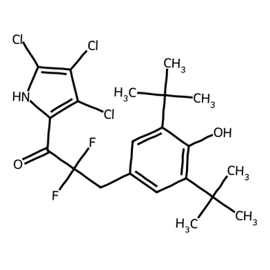 CC(C)(C)c1cc(CC(F)(F)C(=O)c2[nH]c(Cl)c(Cl)c2Cl)cc(C(C)(C)C)c1O